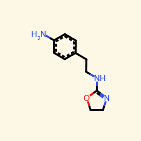 Nc1ccc(CCNC2=NCCO2)cc1